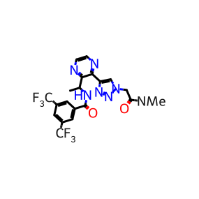 CNC(=O)Cn1cc(-c2nccnc2C(C)NC(=O)c2cc(C(F)(F)F)cc(C(F)(F)F)c2)nn1